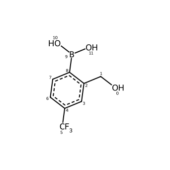 OCc1cc(C(F)(F)F)ccc1B(O)O